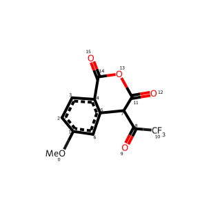 COc1ccc2c(c1)C(C(=O)C(F)(F)F)C(=O)OC2=O